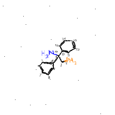 NC(CP)(c1ccccc1)c1ccccc1